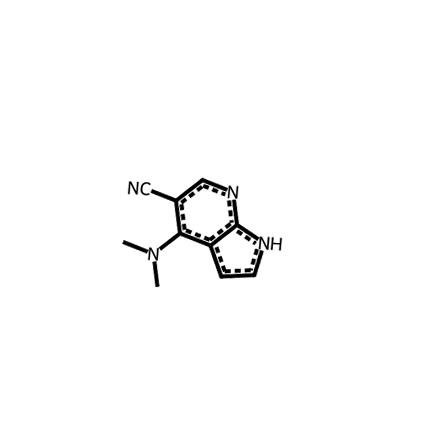 CN(C)c1c(C#N)cnc2[nH]ccc12